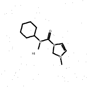 CN1C=CN(C(=O)N(C)C2CCCCC2)C1.I